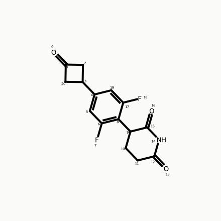 O=C1CC(c2cc(F)c(C3CCC(=O)NC3=O)c(F)c2)C1